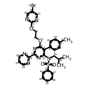 Cc1ccc(-c2c(OCCOc3ncc(Br)cn3)nc(-c3ncccn3)nc2N(CC(C)C)S(=O)(=O)c2ccccc2)cc1